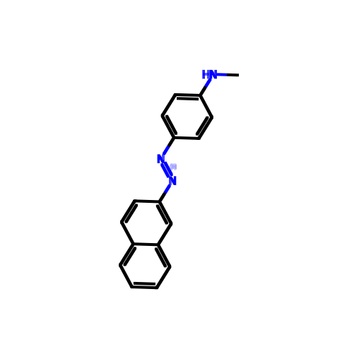 CNc1ccc(/N=N/c2ccc3ccccc3c2)cc1